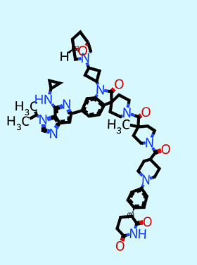 CC(C)n1cnc2cc(-c3ccc4c(c3)N(C3CC(N5CC6CC[C@@H](C5)O6)C3)C(=O)C43CCN(C(=O)C4(C)CCN(C(=O)C5CCN(c6ccc([C@H]7CCC(=O)NC7=O)cc6)CC5)CC4)CC3)nc(NC3CC3)c21